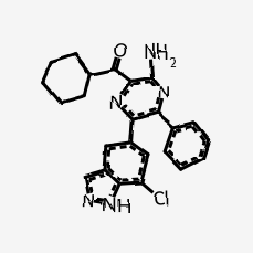 Nc1nc(-c2ccccc2)c(-c2cc(Cl)c3[nH]ncc3c2)nc1C(=O)C1CCCCC1